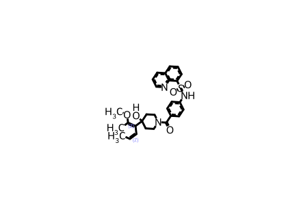 C/C=C\C(=C(/C)OC)C1(O)CCN(C(=O)c2ccc(NS(=O)(=O)c3cccc4cccnc34)cc2)CC1